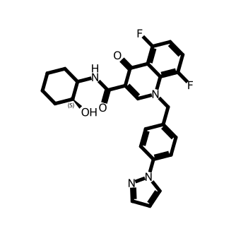 O=C(NC1CCCC[C@@H]1O)c1cn(Cc2ccc(-n3cccn3)cc2)c2c(F)ccc(F)c2c1=O